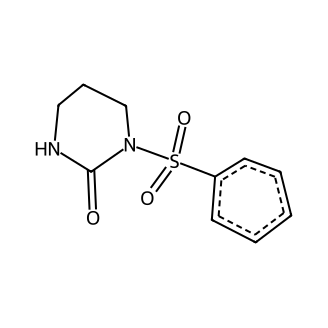 O=C1NCCCN1S(=O)(=O)c1ccccc1